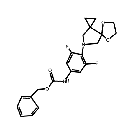 O=C(Nc1cc(F)c(N2CC3(CC3)C3(C2)OCCO3)c(F)c1)OCc1ccccc1